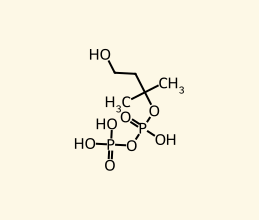 CC(C)(CCO)OP(=O)(O)OP(=O)(O)O